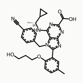 Cc1ccc(OCCCO)c(-c2nc3nc(C(=O)O)nc(N[C@H](C)C4CC4)c3n2Cc2ccc(C#N)cc2)c1